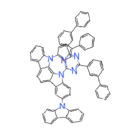 c1ccc(-c2ccc(-n3c4ccccc4c4ccc5c6cc(-n7c8ccccc8c8ccccc87)ccc6n(-c6nc(-c7cccc(-c8ccccc8)c7)nc(-c7cccc(-c8ccccc8)c7)n6)c5c43)cc2)cc1